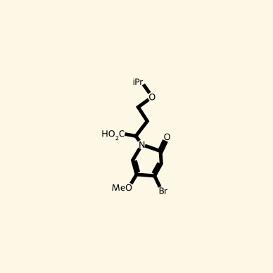 COc1cn(C(CCOC(C)C)C(=O)O)c(=O)cc1Br